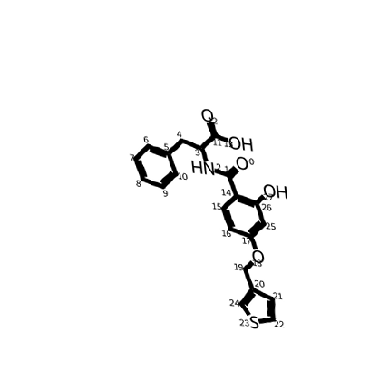 O=C(NC(Cc1ccccc1)C(=O)O)c1ccc(OCc2ccsc2)cc1O